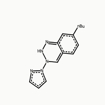 CCCCc1ccc2c(c1)=NNN(n1cccn1)C=2